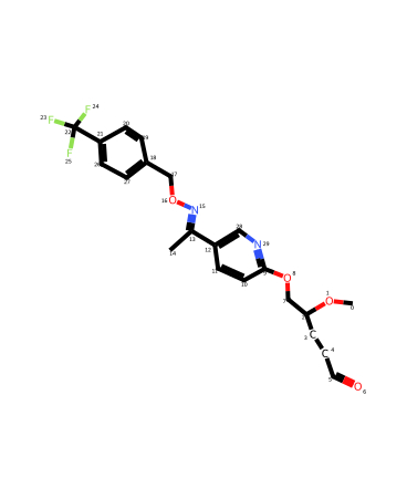 COC(CCC=O)COc1ccc(/C(C)=N/OCc2ccc(C(F)(F)F)cc2)cn1